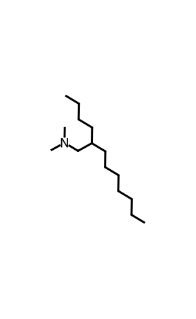 CCCCCCCC(CCCC)CN(C)C